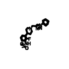 CS(=O)(=O)Nc1cccc(C2CCN(Cc3cn(-c4ccccc4)nn3)CC2)c1F